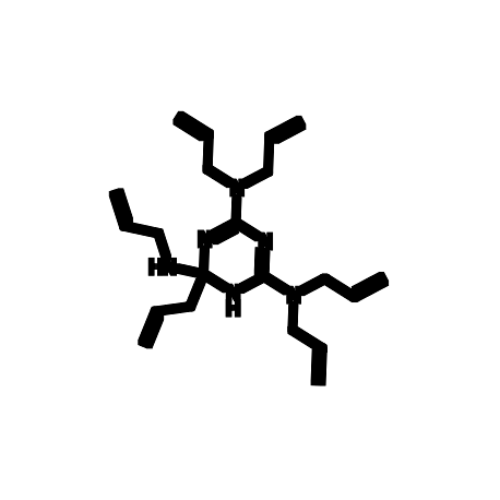 C=CCNC1(CC=C)N=C(N(CC=C)CC=C)N=C(N(CC=C)CC=C)N1